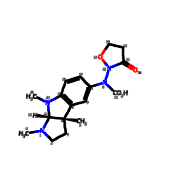 CN1CC[C@@]2(C)c3cc(N(C(=O)O)N4OCCC4=O)ccc3N(C)[C@@H]12